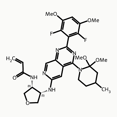 C=CC(=O)N[C@H]1COC[C@H]1Nc1cc2c(N3CCC(C)CC3(OC)OC)nc(-c3c(F)c(OC)cc(OC)c3F)nc2cn1